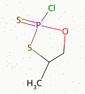 CC1COP(=S)(Cl)S1